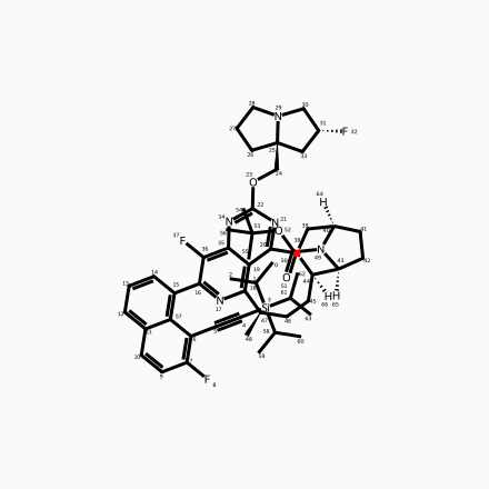 CC(C)[Si](C#Cc1c(F)ccc2cccc(-c3nc4c5c(nc(OC[C@@]67CCCN6C[C@H](F)C7)nc5c3F)N3C[C@H]5CC[C@@H]([C@H]3CC[C@H]4C)N5C(=O)OC(C)(C)C)c12)(C(C)C)C(C)C